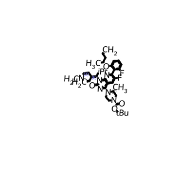 C=CCC(C)Oc1cccc(F)c1-c1nc2c(cc1F)c(N1CCN(C(=O)OC(C)(C)C)C[C@@H]1C)nc(=O)n2/C(=C(C=C)/C=C\N=C)C(C)C